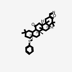 CC1(C)CC[C@]2(CSc3ccccc3)CC[C@]3(C)C(C(=O)C[C@@H]4C5(C)Cc6cnoc6C(C)(C)[C@@H]5CCC43C)C2C1